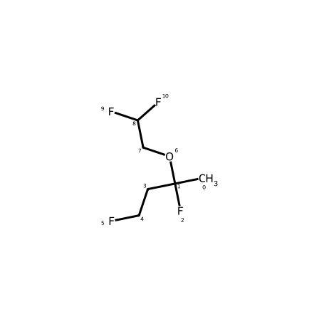 CC(F)(CCF)OCC(F)F